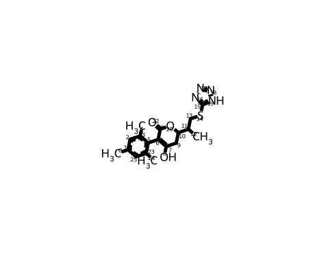 Cc1cc(C)c(C2=C(O)CC(C(C)CSc3nnn[nH]3)OC2=O)c(C)c1